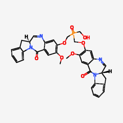 COc1cc2c(cc1OCP(=O)(CO)COc1cc3c(cc1OC)C(=O)N1c4ccccc4C[C@H]1C=N3)N=C[C@@H]1Cc3ccccc3N1C2=O